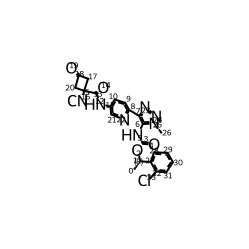 C[C@@H](OC(=O)Nc1c(-c2ccc(NC(=O)C3(C#N)CC(=O)C3)cn2)nnn1C)c1ccccc1Cl